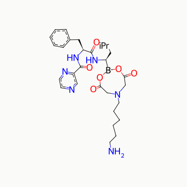 CC(C)C[C@H](NC(=O)[C@H](Cc1ccccc1)NC(=O)c1cnccn1)B1OC(=O)CN(CCCCCCN)CC(=O)O1